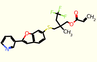 C=CC(=O)OCC(C)(CSc1ccc2cc(-c3cccnc3)oc2c1)CC(F)(F)F